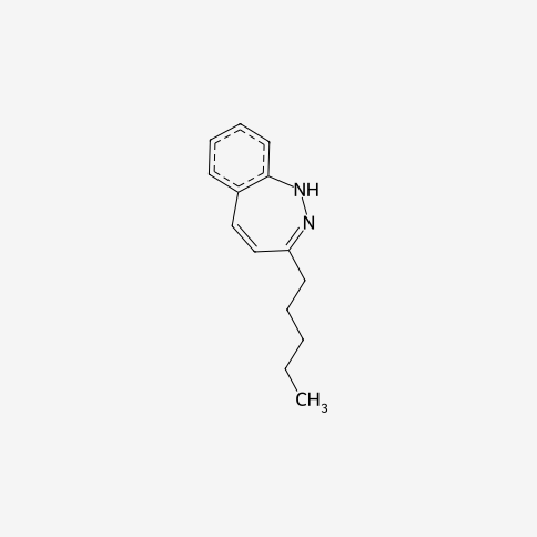 CCCCCC1=NNc2ccccc2C=C1